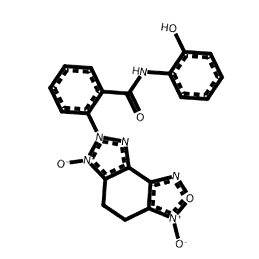 O=C(Nc1ccccc1O)c1ccccc1-n1nc2c([n+]1[O-])CCc1c-2no[n+]1[O-]